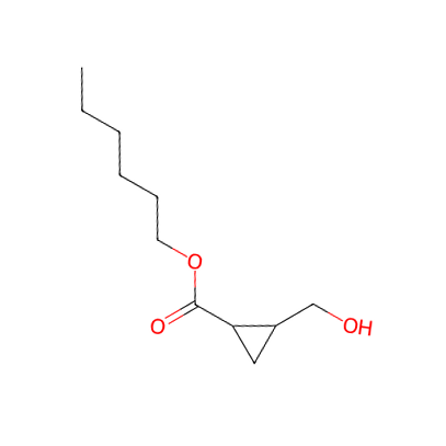 CCCCCCOC(=O)C1CC1CO